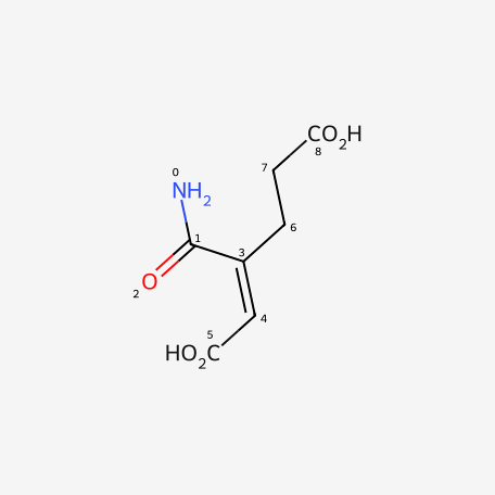 NC(=O)/C(=C\C(=O)O)CCC(=O)O